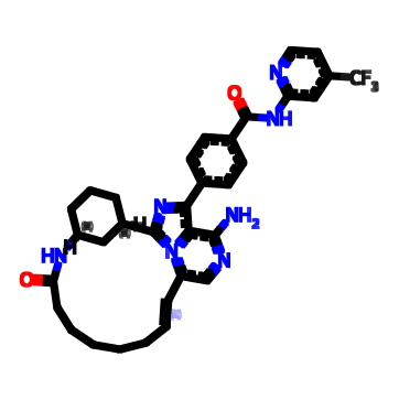 Nc1ncc2n3c(nc(-c4ccc(C(=O)Nc5cc(C(F)(F)F)ccn5)cc4)c13)[C@@H]1CCC[C@H](C1)NC(=O)CCCCC/C=C/2